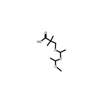 COC(C)OC(C)OCC(C)(C)C(=O)O